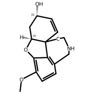 COc1ccc2c3c1O[C@H]1C[C@H](O)C=CC31CCNC2